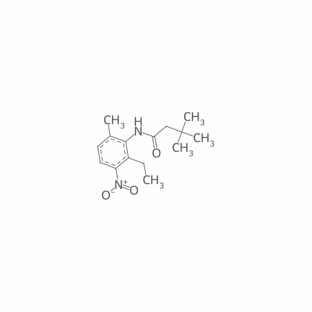 CCc1c([N+](=O)[O-])ccc(C)c1NC(=O)CC(C)(C)C